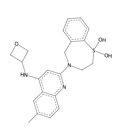 Cc1ccc2nc(N3CCS(O)(O)c4ccccc4C3)cc(NC3COC3)c2c1